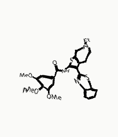 CCN1CCc2c(sc(NC(=O)c3cc(OC)c(OC)c(OC)c3)c2-c2nc3ccccc3s2)C1